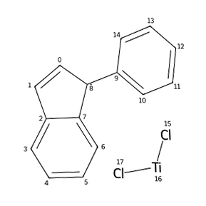 C1=Cc2ccccc2[C]1c1ccccc1.[Cl][Ti][Cl]